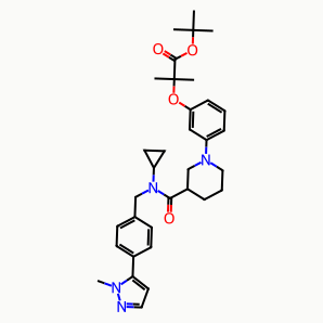 Cn1nccc1-c1ccc(CN(C(=O)C2CCCN(c3cccc(OC(C)(C)C(=O)OC(C)(C)C)c3)C2)C2CC2)cc1